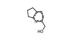 OCc1ccc2c(n1)CCC2